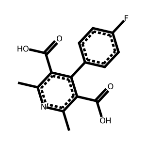 Cc1nc(C)c(C(=O)O)c(-c2ccc(F)cc2)c1C(=O)O